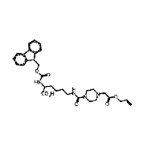 C=CCOC(=O)CN1CCN(C(=O)NCCCC[C@H](NC(=O)OCC2c3ccccc3-c3ccccc32)C(=O)O)CC1